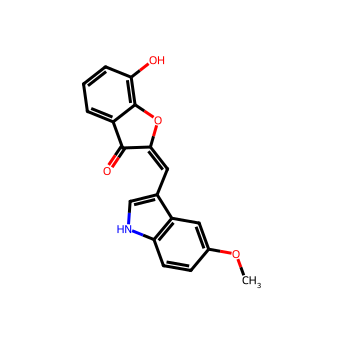 COc1ccc2[nH]cc(/C=C3/Oc4c(O)cccc4C3=O)c2c1